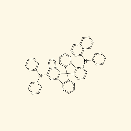 c1ccc(N(c2cccc3c2-c2ccccc2C32c3ccccc3-c3cc(N(c4ccccc4)c4ccccc4)c4ccccc4c32)c2cccc3ccccc23)cc1